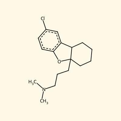 CN(C)CCCC12CCCCC1c1cc(Cl)ccc1O2